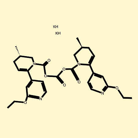 CCOc1cc(C2=CC[C@H](C)CN2C(=O)OC(=O)OC(=O)N2C[C@@H](C)CC=C2c2ccnc(OCC)c2)ccn1.[KH].[KH]